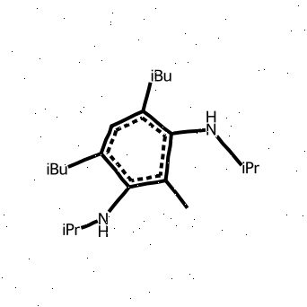 CCC(C)c1cc(C(C)CC)c(NC(C)C)c(C)c1NC(C)C